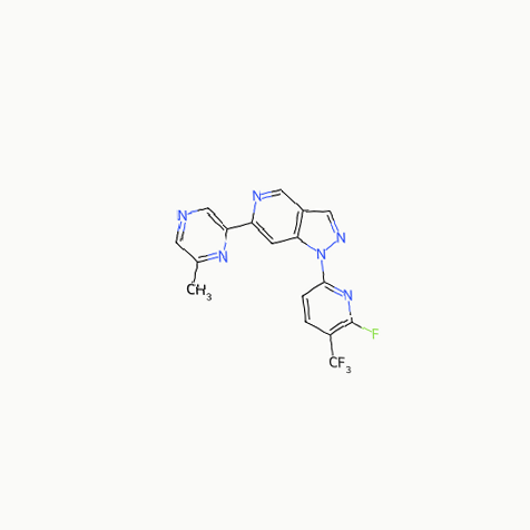 Cc1cncc(-c2cc3c(cn2)cnn3-c2ccc(C(F)(F)F)c(F)n2)n1